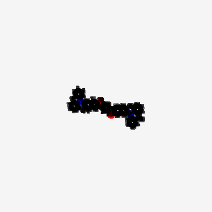 Cc1ccccc1N(c1ccc2cc3c(cc2c1)oc1cc2c(cc13)oc1cc3cc(N4c5ccccc5C(C)c5cccc(C)c54)ccc3cc12)c1ccccc1C(C)C